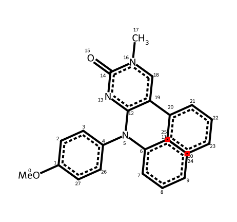 COc1ccc(N(c2ccccc2)c2nc(=O)n(C)cc2-c2ccccc2)cc1